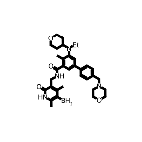 Bc1c(C)[nH]c(=O)c(CNC(=O)c2cc(-c3ccc(CN4CCOCC4)cc3)cc(N(CC)C3CCOCC3)c2C)c1C